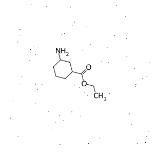 CCOC(=O)C1CCCC(N)C1